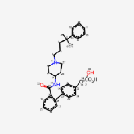 CCC(C)(CCCN1CCC(NC(=O)c2ccccc2-c2ccc(C(F)(F)F)cc2)CC1)c1ccccc1.O=C(O)O